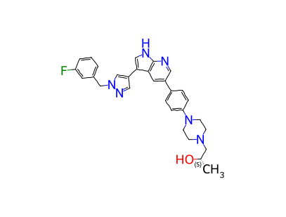 C[C@H](O)CN1CCN(c2ccc(-c3cnc4[nH]cc(-c5cnn(Cc6cccc(F)c6)c5)c4c3)cc2)CC1